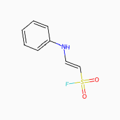 O=S(=O)(F)C=CNc1ccccc1